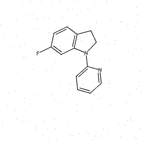 Fc1ccc2c(c1)N(c1ccccn1)CC2